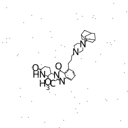 Cc1nc2cccc(CCCN3CCN(C45CC6CC(CC(C6)C4)C5)CC3)c2c(=O)n1C1CCC(=O)NC1=O